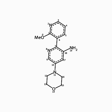 COc1ncccc1-c1ncc(N2CCOCC2)cc1N